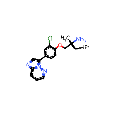 CC(C)CC(C)(N)COc1ccc(-c2cnc3cccnn23)cc1Cl